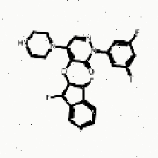 O=c1c(OC2C(F)c3ccccc3C2F)c(N2CCNCC2)cnn1-c1cc(F)cc(F)c1